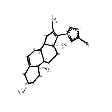 CC1=C(n2cnc(Br)c2)[C@@]2(C)CCC3C(CC=C4C[C@@H](N)CC[C@@]43C)C2C1